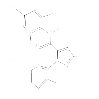 CCN(C(=O)c1cc(Br)nn1-c1ncccc1Cl)c1c(Cl)cc(Br)cc1C(=O)O.Cl